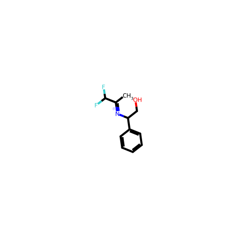 C/C(=N\C(CO)c1ccccc1)C(F)F